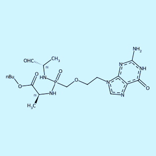 CCCCOC(=O)[C@H](C)NP(=O)(COCCn1cnc2c(=O)[nH]c(N)nc21)N[C@@H](C)C=O